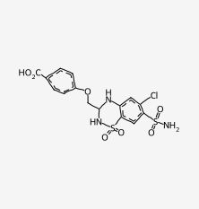 NS(=O)(=O)c1cc2c(cc1Cl)NC(COc1ccc(C(=O)O)cc1)NS2(=O)=O